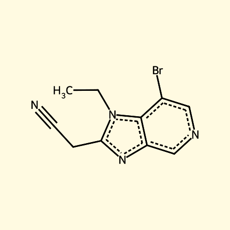 CCn1c(CC#N)nc2cncc(Br)c21